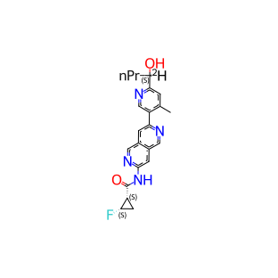 [2H][C@](O)(CCC)c1cc(C)c(-c2cc3cnc(NC(=O)[C@@H]4C[C@@H]4F)cc3cn2)cn1